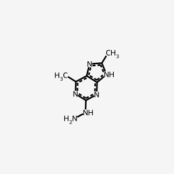 Cc1nc2c(C)nc(NN)nc2[nH]1